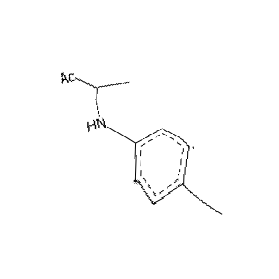 CC(=O)C(C)Nc1c[c]c(C)cc1